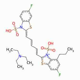 CCCc1cc(F)cc2sc(C=CC=CC=C3Sc4cc(F)ccc4N3S(=O)(=O)O)[n+](S(=O)(=O)O)c12.CCN(CC)CC